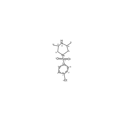 CCc1ccc(S(=O)(=O)N2CC(C)NC(C)C2)cc1